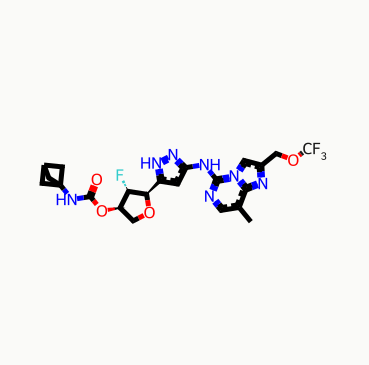 Cc1cnc(Nc2cc([C@H]3OC[C@@H](OC(=O)NC45CC(C4)C5)[C@@H]3F)[nH]n2)n2cc(COC(F)(F)F)nc12